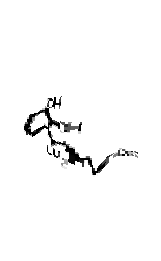 CCCCCCCCCCCCCCC(C(=O)O)c1cccc(O)c1O